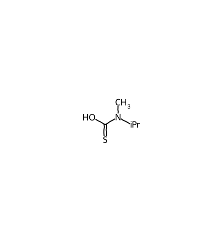 CC(C)N(C)C(O)=S